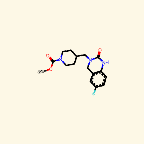 CC(C)(C)OC(=O)N1CCC(CN2Cc3cc(F)ccc3NC2=O)CC1